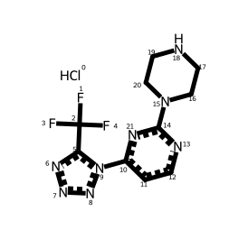 Cl.FC(F)(F)c1nnnn1-c1ccnc(N2CCNCC2)n1